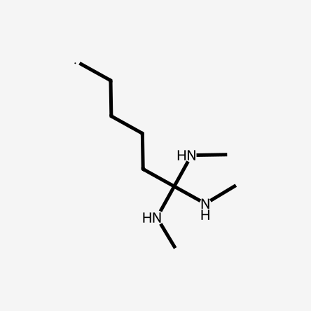 [CH2]CCCCC(NC)(NC)NC